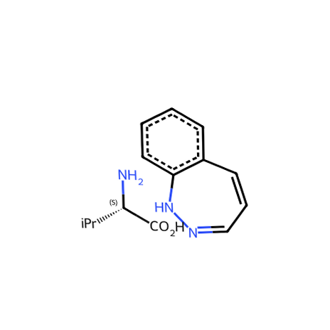 C1=Cc2ccccc2NN=C1.CC(C)[C@H](N)C(=O)O